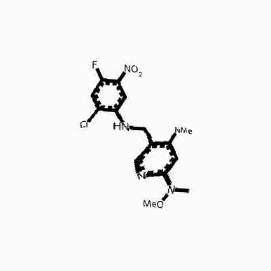 CNc1cc(N(C)OC)ncc1CNc1cc([N+](=O)[O-])c(F)cc1Cl